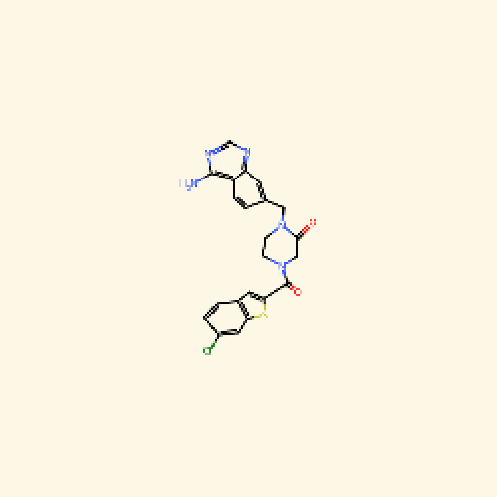 Nc1ncnc2cc(CN3CCN(C(=O)c4cc5ccc(Cl)cc5s4)CC3=O)ccc12